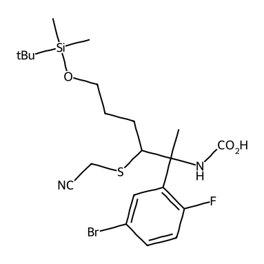 CC(NC(=O)O)(c1cc(Br)ccc1F)C(CCCO[Si](C)(C)C(C)(C)C)SCC#N